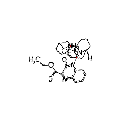 CCOC(=O)c1nc2ccccc2n([C@H]2C[C@H]3CCC[C@@H](C2)N3C/C=C2\CCC3CC2C3(C)C)c1=O